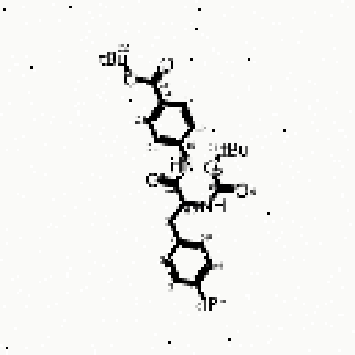 CC(C)c1ccc(CC(NC(=O)OC(C)(C)C)C(=O)Nc2ccc(C(=O)OC(C)(C)C)cc2)cc1